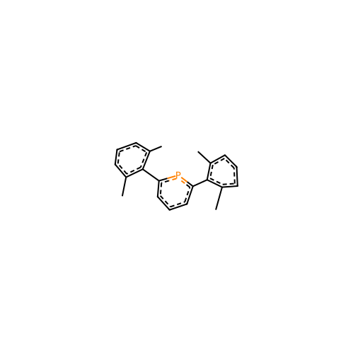 Cc1cccc(C)c1-c1cccc(-c2c(C)cccc2C)p1